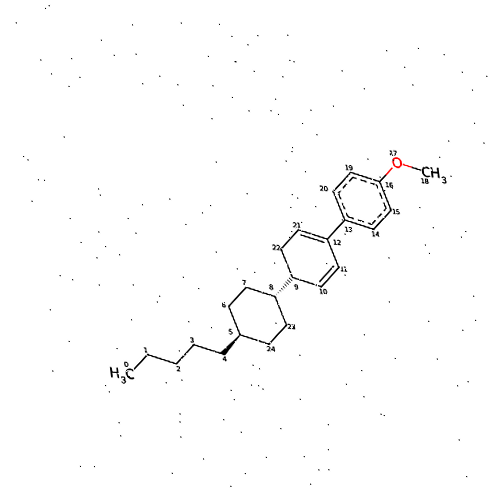 CCCCC[C@H]1CC[C@H](C2C=CC(c3ccc(OC)cc3)=CC2)CC1